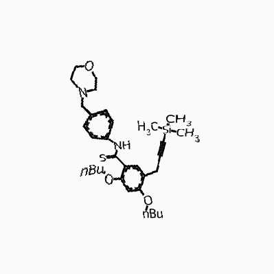 CCCCOc1cc(OCCCC)c(C(=S)Nc2ccc(CN3CCOCC3)cc2)cc1CC#C[Si](C)(C)C